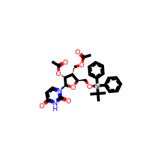 CC(=O)OC[C@H]1[C@@H](OC(C)=O)[C@H](n2ccc(=O)[nH]c2=O)O[C@@H]1CO[Si](c1ccccc1)(c1ccccc1)C(C)(C)C